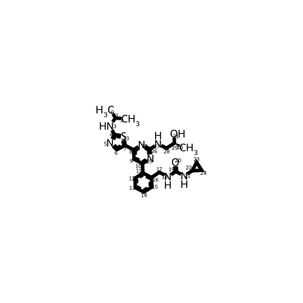 CC(C)Nc1ncc(-c2cc(-c3ccccc3CNC(=O)NC3CC3)nc(NC[C@H](C)O)n2)s1